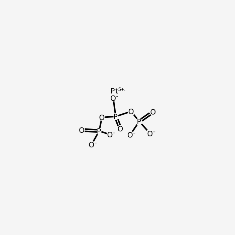 O=P([O-])([O-])OP(=O)([O-])OP(=O)([O-])[O-].[Pt+5]